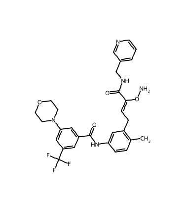 Cc1ccc(NC(=O)c2cc(N3CCOCC3)cc(C(F)(F)F)c2)cc1C/C=C(\ON)C(=O)NCc1cccnc1